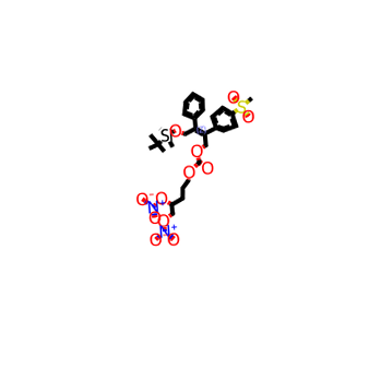 CC(C)(C)[Si](C)(C)OC/C(=C(\COC(=O)OCCCC(CO[N+](=O)[O-])O[N+](=O)[O-])c1ccc(S(C)(=O)=O)cc1)c1ccccc1